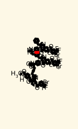 CNC(=O)c1ccc(-n2c(=O)c3c(n4ncc(CC#CCn5oc(=O)nc5-c5ccc(-n6c(=O)c7c(n8ncc(Cc9cccc(Cc%10nnnn%10-c%10ccc(-n%11c(=O)c%12c(n%13ncc(Cc%14ccccc%14)c%11%13)CN(C(=O)c%11ccc(Br)c(C(F)(F)F)c%11)C(C)C%12)cc%10)c9)c68)CN(C(=O)c6ccc(Br)c(C(F)(F)F)c6)C(C)C7)cc5)c24)CN(C(=O)c2ccc(Br)c(C(F)(F)F)c2)CC3)cc1